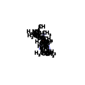 C#CCCC(=O)O[C@H]1C[C@@H](O[C@@H]2C[C@](O)([C@@H](C)[C@H](O)[C@H](C)[C@H]3OC(=O)/C(OC)=C/C(C)=C/[C@@H](C)[C@@H](O)[C@@H](CC)[C@@H](O)[C@H](C)C/C(C)=C/C=C/[C@@H]3O)O[C@H](/C=C/C)[C@H]2C)O[C@@H](C)[C@@H]1OC(N)=O